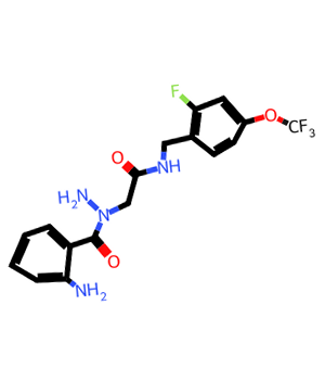 Nc1ccccc1C(=O)N(N)CC(=O)NCc1ccc(OC(F)(F)F)cc1F